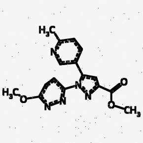 COC(=O)c1cc(-c2ccc(C)nc2)n(-c2ccc(OC)nn2)n1